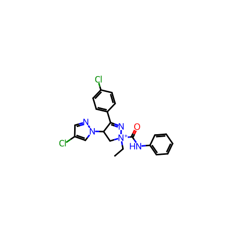 CC[N+]1(C(=O)Nc2ccccc2)CC(n2cc(Cl)cn2)C(c2ccc(Cl)cc2)=N1